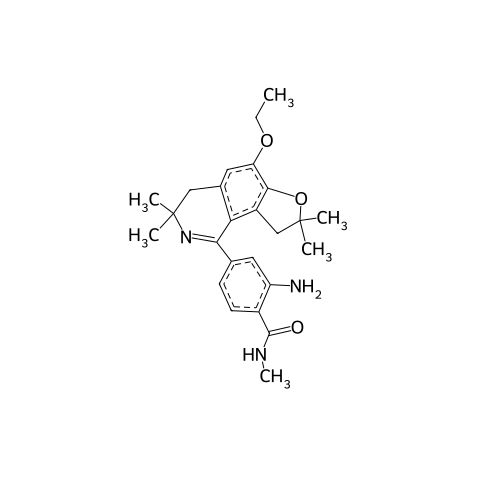 CCOc1cc2c(c3c1OC(C)(C)C3)C(c1ccc(C(=O)NC)c(N)c1)=NC(C)(C)C2